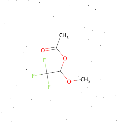 COC(OC(C)=O)C(F)(F)F